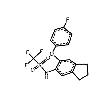 O=S(=O)(Nc1cc2c(cc1Oc1ccc(F)cc1)CCC2)C(F)(F)F